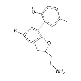 COc1ccc(C)cc1-c1cc(F)cc2c1OC(CCN)C2